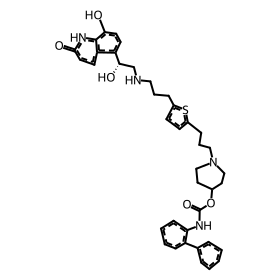 O=C(Nc1ccccc1-c1ccccc1)OC1CCN(CCCc2ccc(CCCNC[C@H](O)c3ccc(O)c4[nH]c(=O)ccc34)s2)CC1